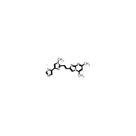 Cc1cc(C)n2cc(C=Cc3nc(-c4cncs4)cn3C)nc2n1